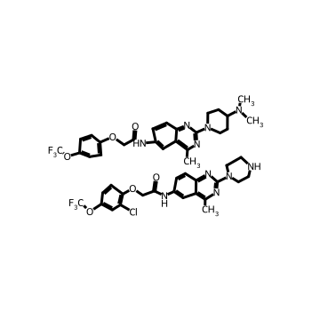 Cc1nc(N2CCC(N(C)C)CC2)nc2ccc(NC(=O)COc3ccc(OC(F)(F)F)cc3)cc12.Cc1nc(N2CCNCC2)nc2ccc(NC(=O)COc3ccc(OC(F)(F)F)cc3Cl)cc12